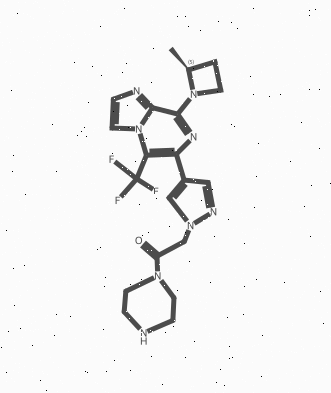 C[C@H]1CCN1c1nc(-c2cnn(CC(=O)N3CCNCC3)c2)c(C(F)(F)F)n2ccnc12